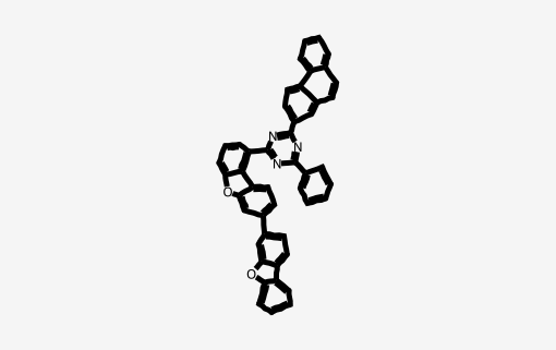 c1ccc(-c2nc(-c3ccc4c(ccc5ccccc54)c3)nc(-c3cccc4oc5cc(-c6ccc7c(c6)oc6ccccc67)ccc5c34)n2)cc1